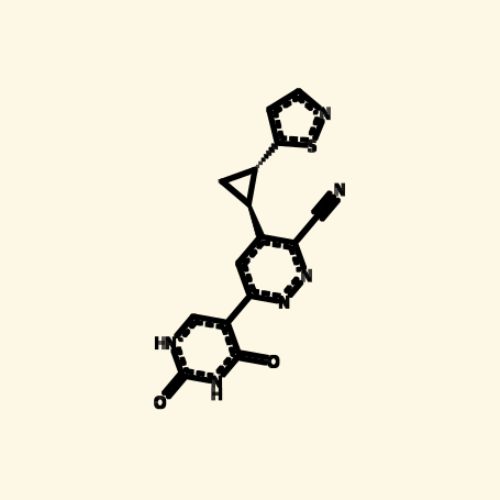 N#Cc1nnc(-c2c[nH]c(=O)[nH]c2=O)cc1[C@H]1C[C@@H]1c1ccns1